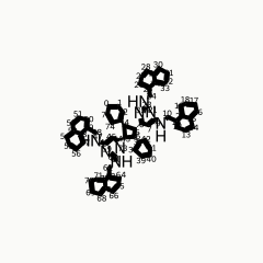 c1ccc([C@H]2[C@H](c3cc(NCc4cccc5ccccc45)nc(NCc4cccc5ccccc45)n3)[C@H](c3ccccc3)[C@H]2c2cc(NCc3cccc4ccccc34)nc(NCc3cccc4ccccc34)n2)cc1